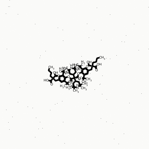 CCCCC(Cc1cc(C(C)(C)C)c(OC(=O)C(C(=O)Oc2c(C(C)(C)C)cc(CC(CCCC)(C(=O)O)C(=O)O)cc2C(C)(C)C)(C2CC(C)(C)NC(C)(C)C2)C2CC(C)(C)NC(C)(C)C2)c(C(C)(C)C)c1)(C(=O)O)C(=O)O